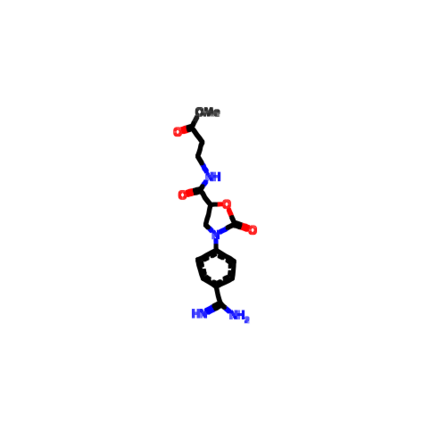 COC(=O)CCNC(=O)C1CN(c2ccc(C(=N)N)cc2)C(=O)O1